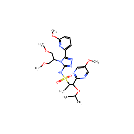 COCC(COC)n1c(NS(=O)(=O)C(C)C(OC(C)C)c2ncc(OC)cn2)nnc1-c1cccc(OC)n1